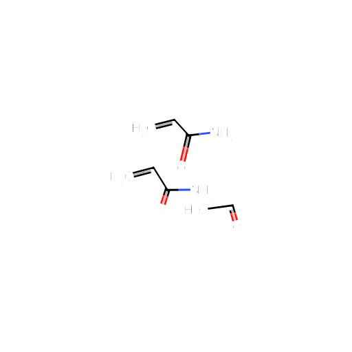 C=CC(N)=O.C=CC(N)=O.CC=O